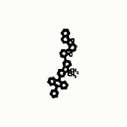 CC1(C)c2ccc(-c3cccc4c3oc3ccc5oc6c7ccccc7ccc6c5c34)cc2-c2ccc(-c3c4ccccc4c(-c4ccccc4)c4ccccc34)cc21